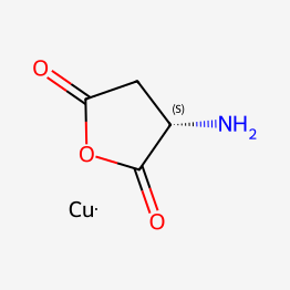 N[C@H]1CC(=O)OC1=O.[Cu]